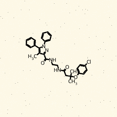 Cc1c(C(=O)NCCNC(=O)CC(C)(C)Oc2ccc(Cl)cc2)nn(-c2ccccc2)c1-c1ccccc1